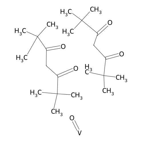 CC(C)(C)C(=O)CC(=O)C(C)(C)C.CC(C)(C)C(=O)CC(=O)C(C)(C)C.[O]=[V]